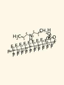 C=CCNCC=C.O=S(=O)(O)C(F)(F)C(F)(F)C(F)(F)C(F)(F)C(F)(F)C(F)(F)C(F)(F)C(F)(F)C(F)(F)C(F)(F)F